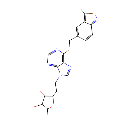 OC1OC(CCn2cnc3c(SCc4ccc5nsc(Br)c5c4)ncnc32)C(O)C1O